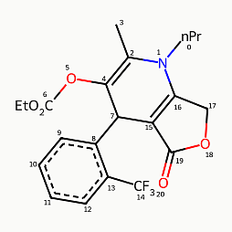 CCCN1C(C)=C(OC(=O)OCC)C(c2ccccc2C(F)(F)F)C2=C1COC2=O